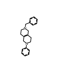 c1ccc(CN2CCC3=C(CCN(c4ccccc4)C3)C2)cc1